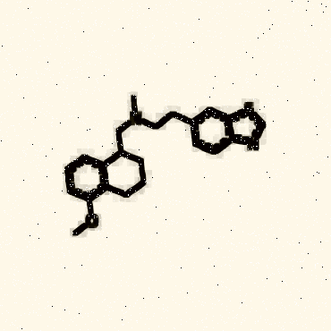 COc1cccc2c1CCCC2CN(C)CCc1ccc2ncsc2c1